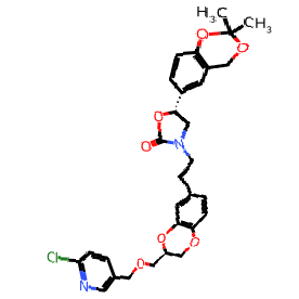 CC1(C)OCc2cc([C@@H]3CN(CCc4ccc5c(c4)O[C@H](COCc4ccc(Cl)nc4)CO5)C(=O)O3)ccc2O1